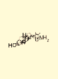 CC(C(N)=O)=C(C)[C@@H](C)[C@H]1CC[C@H]2[C@@H]3CCC4C[C@@H](O)CC[C@]4(C)[C@H]3CC[C@]12C